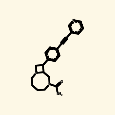 NC(=O)N1CCCCN2CC(c3ccc(C#Cc4cccnc4)cc3)C2C1